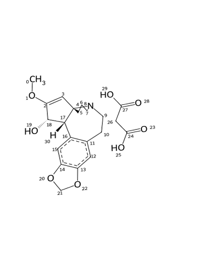 COC1=C[C@]23CCCN2CCc2cc4c(cc2[C@@H]3[C@@H]1O)OCO4.O=C(O)CC(=O)O